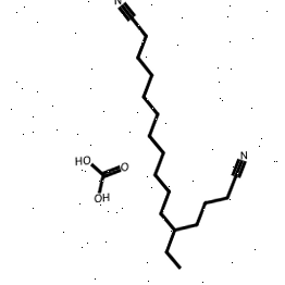 CCC(CCCC#N)CCCCCCCCCCC#N.O=C(O)O